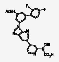 CC(=O)Nc1cc(-c2ccc(F)cc2F)cc(-n2cnc3cc(-c4ccnc(N(C(=O)O)C(C)(C)C)c4)cnc32)c1